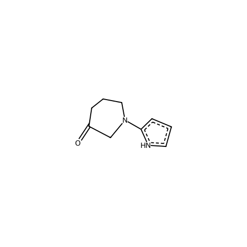 O=C1CCCN(c2ccc[nH]2)C1